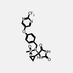 CS(=O)(=O)N(Cc1ccc(Oc2cnc(C(F)(F)F)nc2)cc1)[C@]1(C2CC2)NC(=O)NC1=O